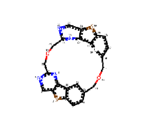 c1cc2sc3cnc4nc3c2cc1COCc1ccc2sc3cnc(nc3c2c1)COC4